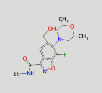 CCNC(=O)c1noc2c(F)c(N3C[C@@H](C)O[C@@H](C)C3)c(CO)cc12